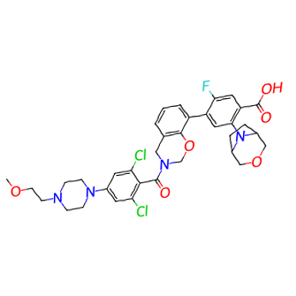 COCCN1CCN(c2cc(Cl)c(C(=O)N3COc4c(cccc4-c4cc(N5C6CCC5COC6)c(C(=O)O)cc4F)C3)c(Cl)c2)CC1